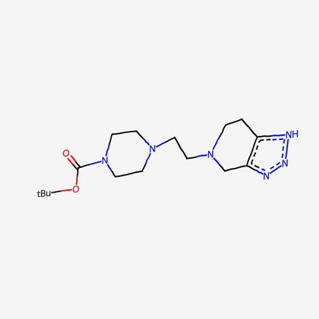 CC(C)(C)OC(=O)N1CCN(CCN2CCc3[nH]nnc3C2)CC1